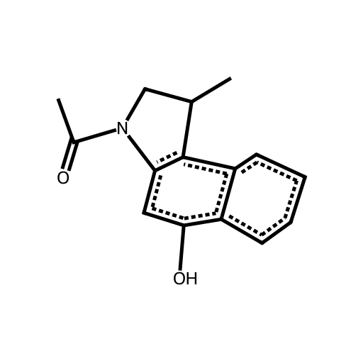 CC(=O)N1CC(C)c2c1cc(O)c1ccccc21